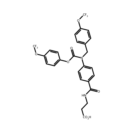 O=C(O)CCNC(=O)c1ccc(N(Cc2ccc(OC(F)(F)F)cc2)C(=O)Oc2ccc(OC(F)(F)F)cc2)cc1